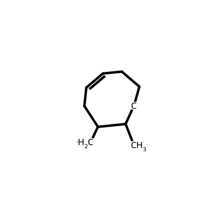 [CH2]C1CC=CCCCC1C